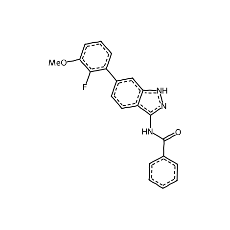 COc1cccc(-c2ccc3c(NC(=O)c4ccccc4)n[nH]c3c2)c1F